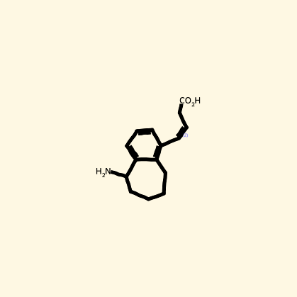 NC1CCCCc2c(/C=C\CC(=O)O)cccc21